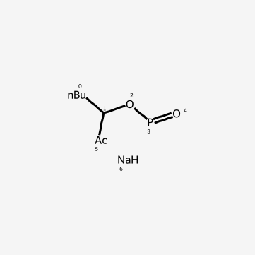 CCCCC(OP=O)C(C)=O.[NaH]